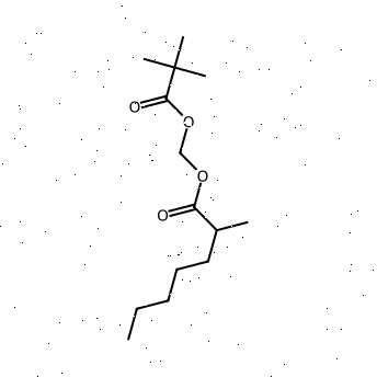 CCCCCC(C)C(=O)OCOC(=O)C(C)(C)C